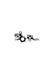 CCCCON1C(=O)N2C[C@@H]1CC[C@H]2c1nnc(CCC)o1